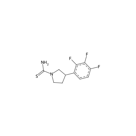 NC(=S)N1CCC(c2ccc(F)c(F)c2F)C1